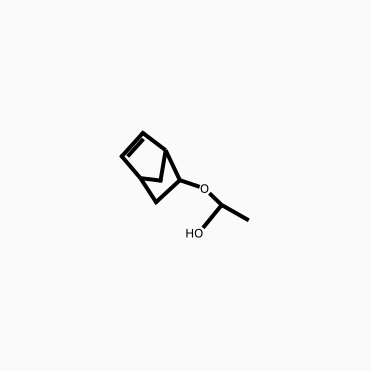 CC(O)OC1CC2C=CC1C2